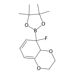 CC1(C)OB(C2(F)C=CC=C3OCCOC32)OC1(C)C